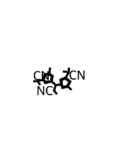 Cc1cc(C(c2cc(C)cc(C(C)(C)C#N)c2)C(C)C#N)cc(C(C)(C)C#N)c1